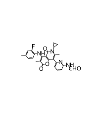 Cc1ccc(Nc2c(C)c(=O)oc3c(-c4cccc(NC=O)n4)c(C)n(C4CC4)c(=O)c23)c(F)c1